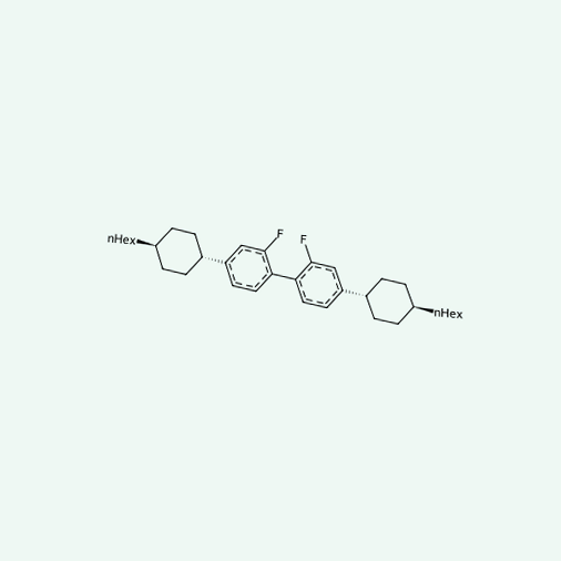 CCCCCC[C@H]1CC[C@H](c2ccc(-c3ccc([C@H]4CC[C@H](CCCCCC)CC4)cc3F)c(F)c2)CC1